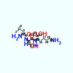 CC(C)C[C@H](N)C(=O)N[C@@H](CO)C(=O)N[C@@H](CCCCN)C(=O)O